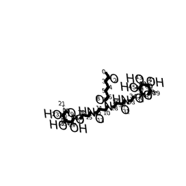 CC(=O)CCCCC(=O)N(CCC(=O)NCCO[C@@H]1O[C@@H](C)[C@@H](O)[C@@H](O)[C@@H]1O)CCC(=O)NCCO[C@@H]1O[C@@H](C)[C@@H](O)[C@@H](O)[C@@H]1O